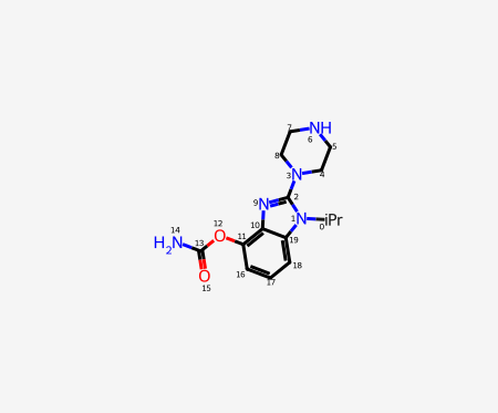 CC(C)n1c(N2CCNCC2)nc2c(OC(N)=O)cccc21